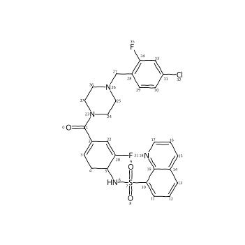 O=C(C1=CCC(NS(=O)(=O)c2cccc3cccnc23)C(F)=C1)N1CCN(Cc2ccc(Cl)cc2F)CC1